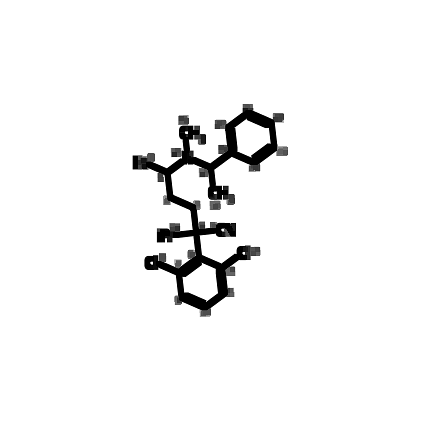 CCC(CCC(C#N)(c1c(Cl)cccc1Cl)C(C)C)N(C)C(C)c1ccccc1